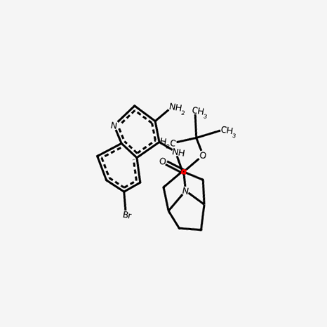 CC(C)(C)OC(=O)N1C2CCC1CC(Nc1c(N)cnc3ccc(Br)cc13)C2